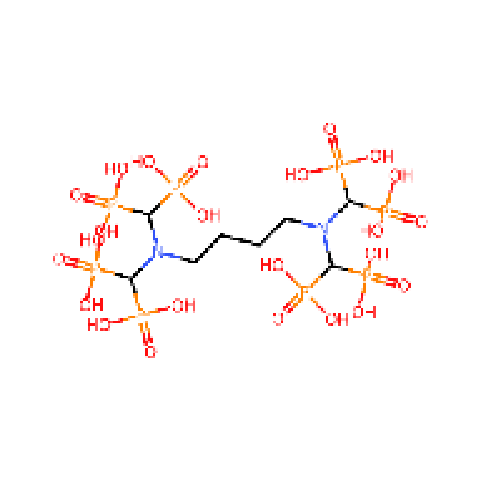 O=P(O)(O)C(N(CCCCN(C(P(=O)(O)O)P(=O)(O)O)C(P(=O)(O)O)P(=O)(O)O)C(P(=O)(O)O)P(=O)(O)O)P(=O)(O)O